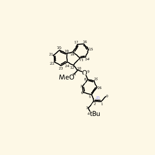 C/C=C(/CC(C)(C)C)c1ccc(OC(OC)C2c3ccccc3-c3ccccc32)cc1